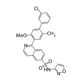 COc1cc(-c2cccc(Cl)c2)c(C)cc1-c1nccc2cc(S(=O)(=O)Nc3ccon3)ccc12